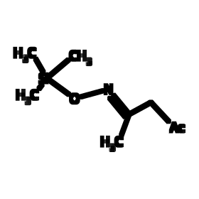 CC(=O)C/C(C)=N/O[Si](C)(C)C